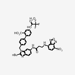 CCCCc1nc2ccc(NC(=O)CCNc3ccc([N+](=O)[O-])c4nonc34)cc2n1Cc1ccc(-c2ccccc2C(=O)O)cc1.O.O=C(O)C(F)(F)F